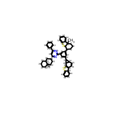 CC12CCCC(c3cc(-c4nc(-c5ccccc5)cc([C@@H]5CC[C@@H]6CCCCC6C5)n4)cc(C4C5C=Cc6c(sc7ccccc67)C54)c3)C1Sc1ccccc12